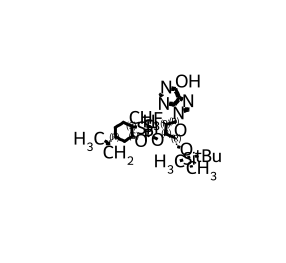 C=C(C)[C@@H]1CC[C@](C)(S)[C@@H](O[PH](=S)O[C@H]2[C@@H](F)[C@H](n3cnc4c(O)ncnc43)O[C@@H]2CO[Si](C)(C)C(C)(C)C)C1